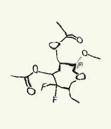 CO[C@@H]1OC(C)C(F)(F)C(OC(C)=O)C1OC(C)=O